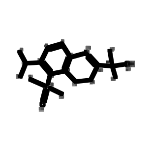 CC(C)c1ccc2c(c1P(C)(C)=O)CCC(C(C)(C)O)=N2